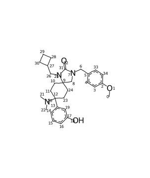 COc1ccc(CN2CC3(CCC(c4cccc(O)c4)(N(C)C)CC3)N(CC3CCC3)C2=O)cc1